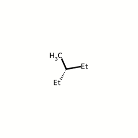 [CH2]C[C@H](C)CC